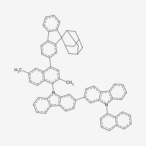 Cc1ccc2c(-n3c4ccccc4c4ccc(-c5ccc6c7ccccc7n(-c7cccc8ccccc78)c6c5)cc43)c(C)cc(-c3ccc4c(c3)C3(c5ccccc5-4)C4CC5CC(C4)CC3C5)c2c1